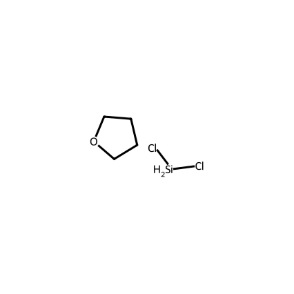 C1CCOC1.Cl[SiH2]Cl